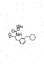 CC(C)(C)OC(=O)N[C@@H](Cc1cccc(CC2CCCCC2)c1)[C@H]1CO1